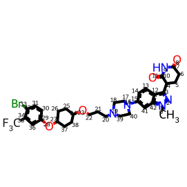 Cn1nc(C2CCC(=O)NC2=O)c2ccc(N3CCN(CCCOC4CCC(Oc5ccc(Br)c(C(F)(F)F)c5)CC4)CC3)cc21